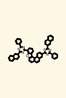 c1ccc(-c2nc(-c3ccc4ccccc4c3)nc(-c3ccc4c(ccc5ccc6oc7c(-c8nc(-c9ccccc9)nc(-c9ccc%10ccccc%10c9)n8)cccc7c6c54)c3)n2)cc1